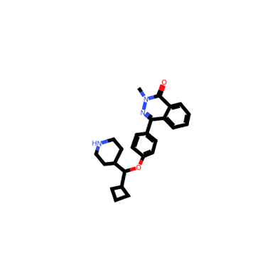 Cn1nc(-c2ccc(OC(C3CCC3)C3CCNCC3)cc2)c2ccccc2c1=O